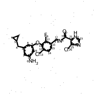 Nc1cc(CC2CC2)cc(Oc2c(Cl)ccc(CNC(=O)c3[nH]cnc3Cl)c2F)c1